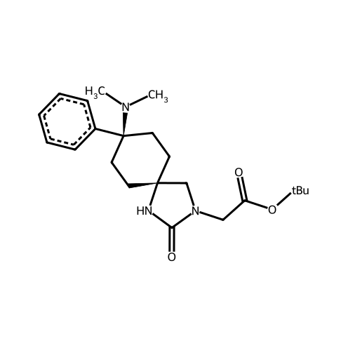 CN(C)[C@]1(c2ccccc2)CC[C@@]2(CC1)CN(CC(=O)OC(C)(C)C)C(=O)N2